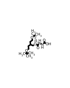 CC(C)(C)OCCC(CCOC(C)(C)C)COC(=O)NNC(=O)O